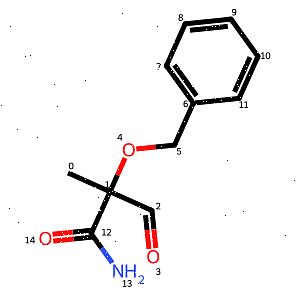 CC(C=O)(OCc1ccccc1)C(N)=O